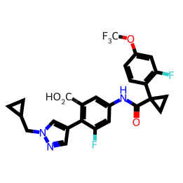 O=C(O)c1cc(NC(=O)C2(c3ccc(OC(F)(F)F)cc3F)CC2)cc(F)c1-c1cnn(CC2CC2)c1